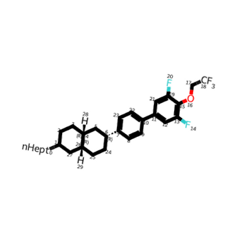 CCCCCCCC1CC[C@@H]2C[C@H](c3ccc(-c4cc(F)c(OCC(F)(F)F)c(F)c4)cc3)CC[C@@H]2C1